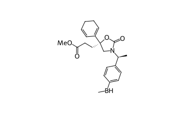 CBc1ccc([C@H](C)N2C[C@@](CCC(=O)OC)(C3=CCCC=C3)OC2=O)cc1